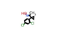 CC(=NO)C1(c2ccc(Cl)cc2Cl)CC1